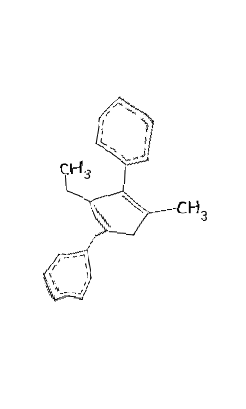 CCC1=C(c2ccccc2)CC(C)=C1c1ccccc1